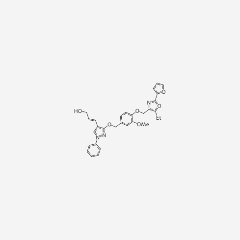 CCc1oc(-c2ccco2)nc1COc1ccc(COc2nn(-c3ccccc3)cc2C=CCO)cc1OC